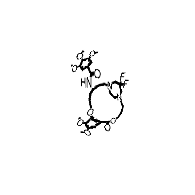 COc1cc(C(=O)N[C@@H]2CCCOc3cc(cc(OC)c3OC)C(=O)OCCCN3CCN(CC2)CC(F)(F)C3)cc(OC)c1OC